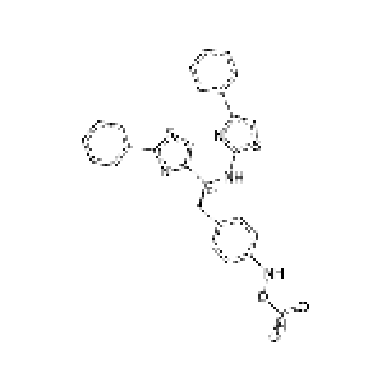 O=[SH](=O)ONc1ccc(C[C@H](Nc2nc(-c3ccccc3)cs2)c2csc(-c3ccccc3)n2)cc1